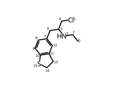 CCNC(CCl)Cc1ccc2c(c1)CCS2